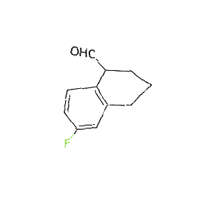 O=CC1CCCc2cc(F)ccc21